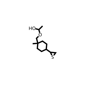 CC(O)OCC1(C)CCC(C2CS2)CC1